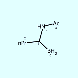 BC(CCC)NC(C)=O